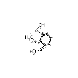 CSc1cccc(SC)c1SC